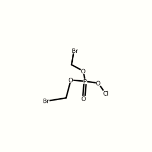 O=P(OCl)(OCBr)OCBr